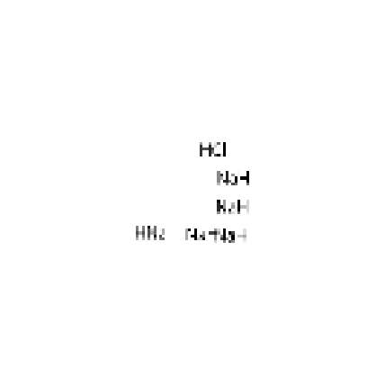 Cl.[NaH].[NaH].[NaH].[NaH].[NaH]